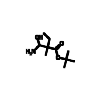 CCC(C)(C(=O)OC(C)(C)C)C(N)O